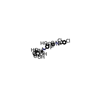 C/C(=C\c1ccc(O[C@@H]2O[C@H](/C(C)=N/OCc3ccc(Cl)cc3Cl)C[C@@H]2F)c(O)c1)C(=O)N[C@@H]1C(O)C(O)C2OCO[C@H]2[C@@H]1O